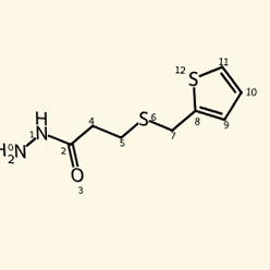 NNC(=O)CCSCc1cccs1